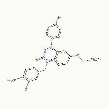 C#CCOc1ccc2c(c1)c(-c1ccc(C(C)C)cc1)nc(=O)n2Cc1ccc(OC)c(Cl)c1